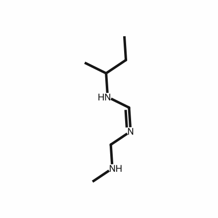 CCC(C)N/C=N\CNC